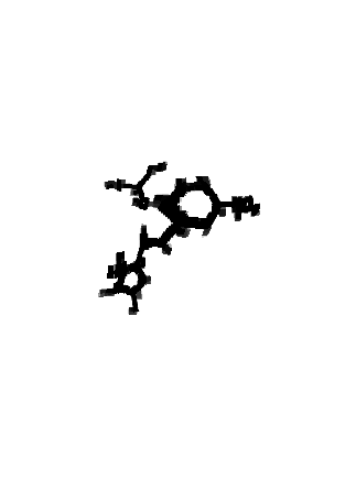 Cc1cc(/N=C/c2cc([N+](=O)[O-])ccc2OC(F)F)[nH]n1